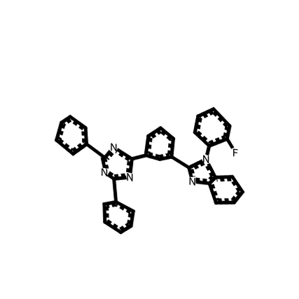 Fc1ccccc1-n1c(-c2cccc(-c3nc(-c4ccccc4)nc(-c4ccccc4)n3)c2)nc2ccccc21